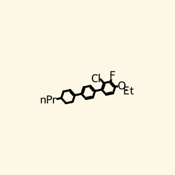 CCCC1CC=C(c2ccc(-c3ccc(OCC)c(F)c3Cl)cc2)CC1